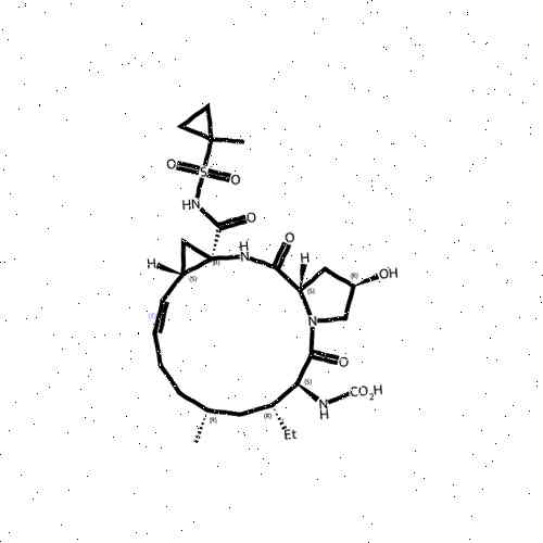 CC[C@@H]1C[C@H](C)CC/C=C\[C@@H]2C[C@@]2(C(=O)NS(=O)(=O)C2(C)CC2)NC(=O)[C@@H]2C[C@@H](O)CN2C(=O)[C@H]1NC(=O)O